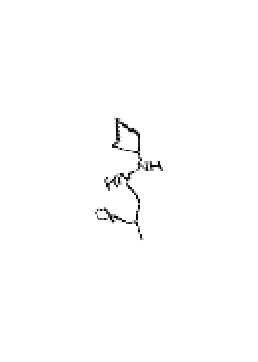 CC(Cl)CNNC1CCC1